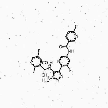 C[C@H](c1cc(F)cnc1F)N(C(=O)O)c1c(-c2ncc(NC(=O)c3ccc(Cl)nc3)cc2F)nnn1C